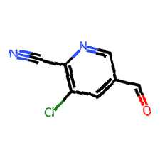 N#Cc1ncc(C=O)cc1Cl